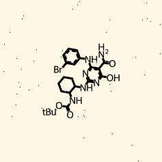 CC(C)(C)OC(=O)NC1CCCCC1Nc1nc(O)c(C(N)=O)c(Nc2cccc(Br)c2)n1